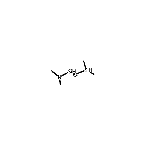 CN(C)[SiH2]O[SiH](C)C